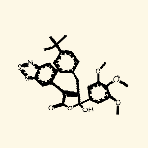 COc1cc(C2(O)OC(=O)C(c3ccc4nsnc4c3)=C2Cc2ccc(C(C)(C)C)cc2)cc(OC)c1OC